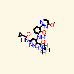 [2H]C([2H])([2H])NC(=O)c1nnc(NC(=O)C2CC2)cc1Nc1cccc(-c2nccc(OC)n2)c1OC